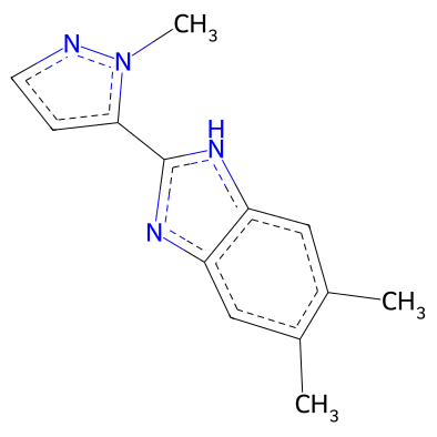 Cc1cc2nc(-c3ccnn3C)[nH]c2cc1C